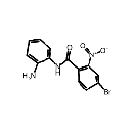 Nc1ccccc1NC(=O)c1ccc(Br)cc1[N+](=O)[O-]